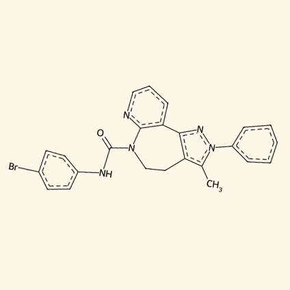 Cc1c2c(nn1-c1ccccc1)-c1cccnc1N(C(=O)Nc1ccc(Br)cc1)CC2